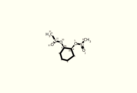 CS(=O)O[C@H]1CCCC[C@H]1OS(C)=O